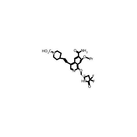 CC(C)Oc1cc2c(OC[C@@H]3CC(F)(F)C(=O)N3)ncc(C#CC3CCN(C(=O)O)CC3)c2cc1C(N)=O